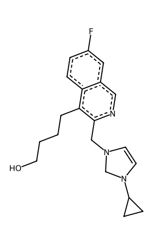 OCCCCc1c(CN2C=CN(C3CC3)C2)ncc2cc(F)ccc12